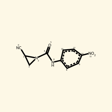 N#CC1CN1C(=O)Nc1ccc([N+](=O)[O-])cc1